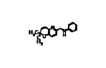 CC1(C)C=Cc2nc(CNc3ccccc3)ccc2O1